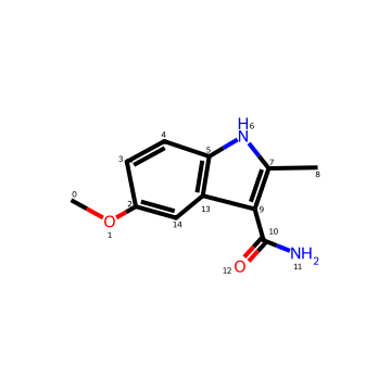 COc1[c]cc2[nH]c(C)c(C(N)=O)c2c1